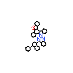 c1ccc(-c2ccc(-c3nc(-n4c5ccccc5c5c6c7ccccc7oc6c6ccccc6c54)nc4ccccc34)c3ccccc23)cc1